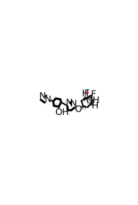 Oc1cc(-n2ccnc2)ccc1-c1ccc(O[C@@H]2C[C@H]3CC(F)(F)[C@@H](C2)N3)nn1